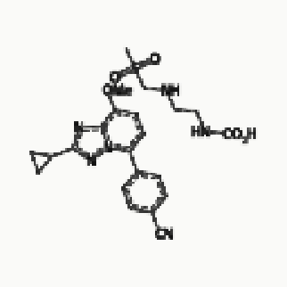 COc1ccc(-c2ccc(C#N)cc2)n2nc(C3CC3)nc12.CS(=O)(=O)CNCCNC(=O)O